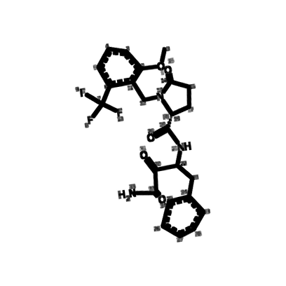 COc1cccc(C(F)(F)F)c1CN1C(=O)CC[C@@H]1C(=O)NC(Cc1ccccc1)C(=O)C(N)=O